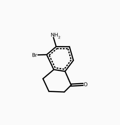 Nc1ccc2c(c1Br)CCCC2=O